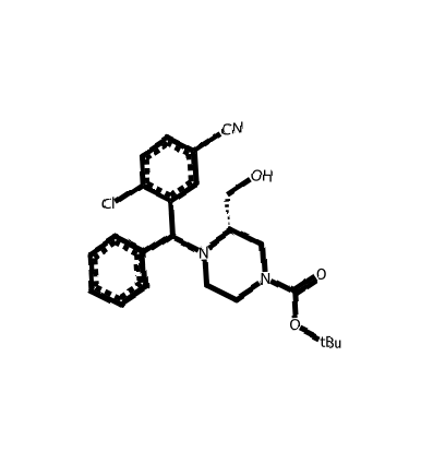 CC(C)(C)OC(=O)N1CCN(C(c2ccccc2)c2cc(C#N)ccc2Cl)[C@H](CO)C1